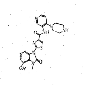 Cn1c(=O)n(-c2nc(C(=O)Nc3cnccc3N3CCNCC3)cs2)c2cccc(O)c21